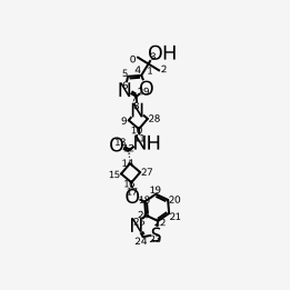 CC(C)(O)c1cnc(N2CC(NC(=O)[C@H]3C[C@H](Oc4cccc5scnc45)C3)C2)o1